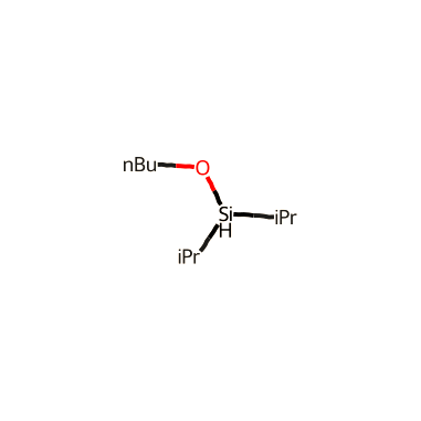 CCCCO[SiH](C(C)C)C(C)C